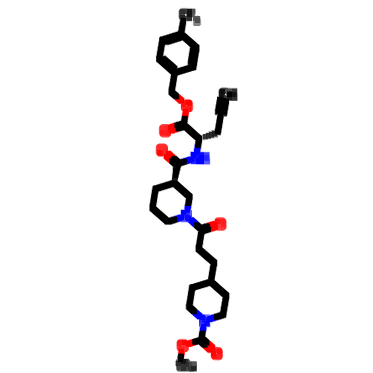 C#CC[C@H](NC(=O)[C@@H]1CCCN(C(=O)CCC2CCN(C(=O)OC(C)(C)C)CC2)C1)C(=O)OCc1ccc(C(F)(F)F)cc1